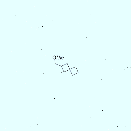 COCC1CC2(CCC2)C1